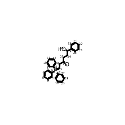 O=C(CC=P(c1ccccc1)(c1ccccc1)c1ccccc1)CCC(O)c1ccccc1